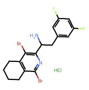 Cl.NC(Cc1cc(F)cc(F)c1)c1nc(Br)c2c(c1Br)CCCC2